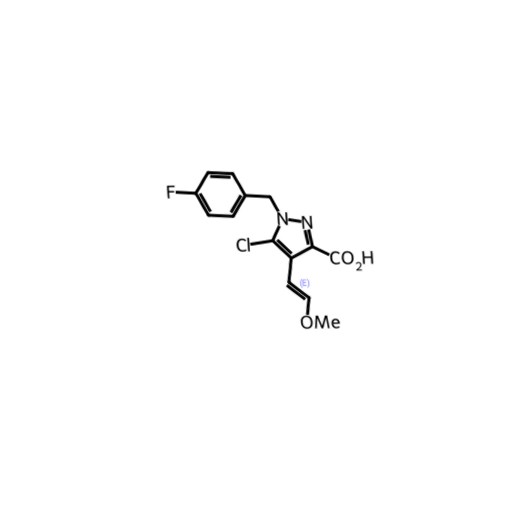 CO/C=C/c1c(C(=O)O)nn(Cc2ccc(F)cc2)c1Cl